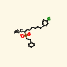 O=C(O)C(CCCCCCc1ccc(Cl)cc1)S(=O)(=O)CCc1ccccc1